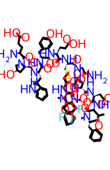 CCCC[C@@H](C(=O)N1C[C@H](O)C[C@@H]1C(=O)N[C@@H](CC(=O)O)C(=O)N[C@H](C(=O)N(C)[C@H](C=O)Cc1ccccc1)C(C)C)N(C)C(=O)[C@H](Cc1ccccc1)N(C)C(=O)[C@H](Cc1cc(F)c(F)c(F)c1)NC(=O)CSC[C@H](NC(=O)[C@H](CCC(=O)O)NC(=O)[C@H](Cc1ccc(O)cc1)NC(=O)[C@H](Cc1c[nH]c2ccccc12)NC(=O)[C@H]1C[C@@H](O)CN1C(=O)[C@@H](N)CCC(=O)O)C(=O)NCC(N)=O